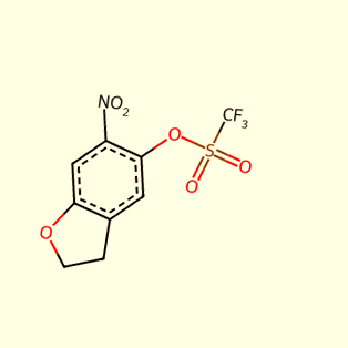 O=[N+]([O-])c1cc2c(cc1OS(=O)(=O)C(F)(F)F)CCO2